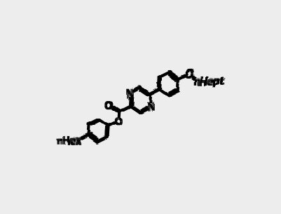 CCCCCCCOc1ccc(-c2cnc(C(=O)Oc3ccc(CCCCCC)cc3)cn2)cc1